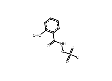 O=Cc1ccccc1C(=O)NOS(=O)(=O)Cl